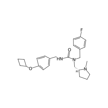 CN1CCC[C@@H]1CN(Cc1ccc(F)cc1)C(=O)NCc1ccc(OC2CCC2)cc1